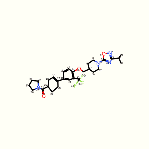 CC(C)c1noc(N2CCC(COc3ccc(C4=CCC(C(=O)N5CCCC5)CC4)cc3C(F)(F)F)CC2)n1